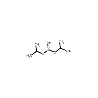 CC(C)O[SiH]([SiH3])OC(C)C